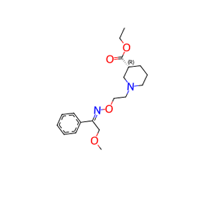 CCOC(=O)[C@@H]1CCCN(CCON=C(COC)c2ccccc2)C1